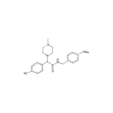 COc1ccc(CNC(=O)C(c2ccc(C#N)cc2)N2CCN(C)CC2)cc1